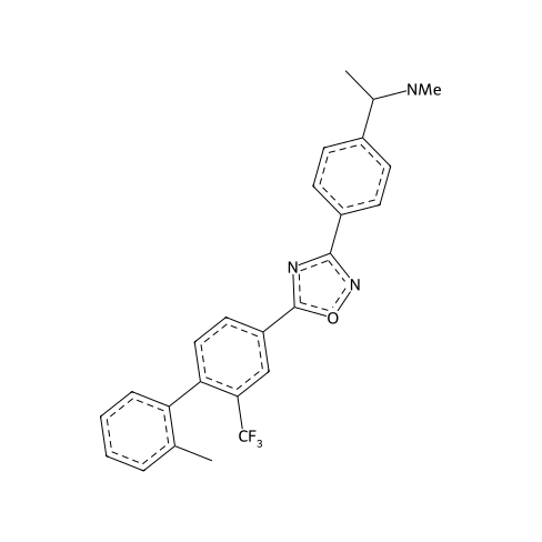 CNC(C)c1ccc(-c2noc(-c3ccc(-c4ccccc4C)c(C(F)(F)F)c3)n2)cc1